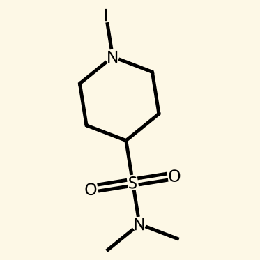 CN(C)S(=O)(=O)C1CCN(I)CC1